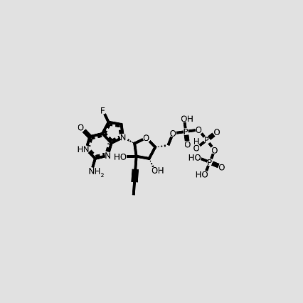 CC#CC1(O)[C@@H](O)[C@@H](COP(=O)(O)OP(=O)(O)OP(=O)(O)O)O[C@H]1n1cc(F)c2c(=O)[nH]c(N)nc21